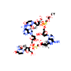 COC1C(OP(=O)(OC[C@H]2O[C@@H](n3cnc4c(N)nc(CC(C)(C)C(=O)OCSP(=O)(OC[C@H]5O[C@@H](n6cnc7c(N)ncnc76)CC5O)OC5C(OC)[C@H](n6ccc(=O)[nH]c6=O)O[C@@H]5CO)nc43)CC2O)SCOC(=O)OC(C)C)[C@@H](CO)O[C@H]1n1ccc(=O)[nH]c1=O